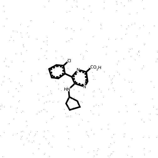 O=C(O)c1cnc(NC2CCCC2)c(-c2ccccc2Cl)n1